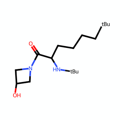 CC(C)(C)CCCCC(NC(C)(C)C)C(=O)N1CC(O)C1